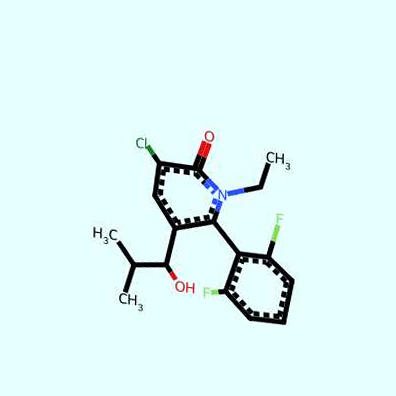 CCn1c(-c2c(F)cccc2F)c(C(O)C(C)C)cc(Cl)c1=O